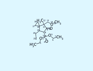 CCOP(=O)(OCC)C1C(=O)C(C)(COC)C2(CC2)C1CI